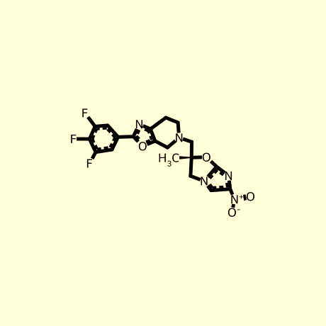 C[C@]1(CN2CCc3nc(-c4cc(F)c(F)c(F)c4)oc3C2)Cn2cc([N+](=O)[O-])nc2O1